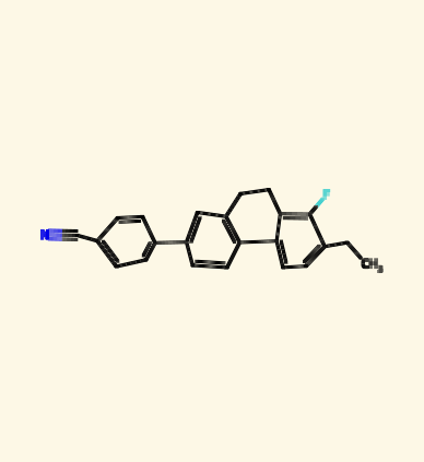 CCc1ccc2c(c1F)CCc1cc(-c3ccc(C#N)cc3)ccc1-2